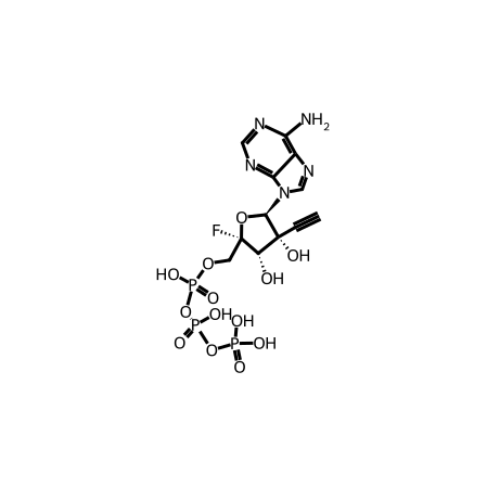 C#C[C@]1(O)[C@H](n2cnc3c(N)ncnc32)O[C@](F)(COP(=O)(O)OP(=O)(O)OP(=O)(O)O)[C@H]1O